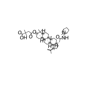 C=C(C)[C@@H]1CC[C@]2(CC(=O)NC3CC4CCC3N4C)CC[C@]3(C)[C@H](CC[C@@H]4[C@@]5(C)CC[C@H](OC(=O)CC(C)(C)C(=O)O)C(C)(C)[C@@H]5CC[C@]43C)[C@@H]12